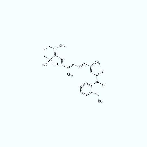 CCN(C(=O)C=C(C)C=CC=C(C)C=CC1=C(C)CCCC1(C)C)c1ccccc1OC(C)(C)C